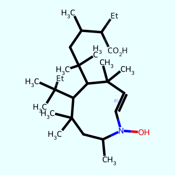 CCC(C(=O)O)C(C)CC(C)(C)C1C(C(C)(C)CC)C(C)(C)CC(C)N(O)/C=C/C1(C)C